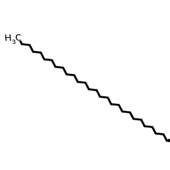 C=CCCCCCCCCCCCCCCCCCCCCCCCCCCC